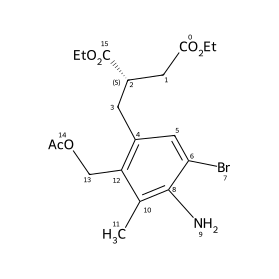 CCOC(=O)C[C@H](Cc1cc(Br)c(N)c(C)c1COC(C)=O)C(=O)OCC